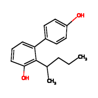 CCCC(C)c1c(O)cccc1-c1ccc(O)cc1